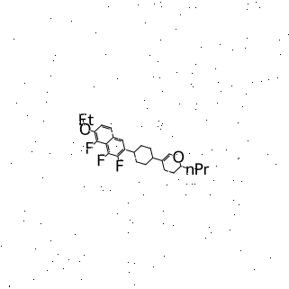 CCCC1CCC(C2CCC(c3cc4ccc(OCC)c(F)c4c(F)c3F)CC2)=CO1